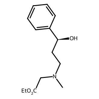 CCOC(=O)CN(C)CC[C@H](O)c1ccccc1